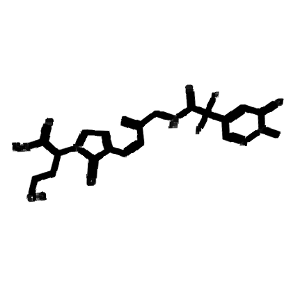 C=C(/C=C\C1=CCN(C(CCC=O)C(=O)NC)C1=O)CNC(=O)C(F)(F)c1cnn(C)c(=O)c1